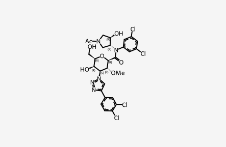 CO[C@@H]1[C@@H](n2cc(-c3ccc(Cl)c(Cl)c3)nn2)[C@@H](O)[C@@H](CO)O[C@H]1C(=O)N(c1cc(Cl)cc(Cl)c1)[C@@H]1CN(C(C)=O)C[C@H]1O